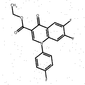 CCOC(=O)c1cn(-c2ccc(F)cc2)c2cc(F)c(F)cc2c1=O